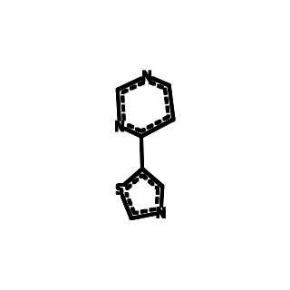 c1cc(-c2cncs2)ncn1